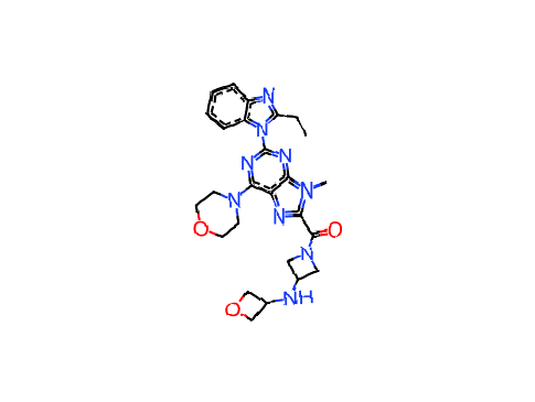 CCc1nc2ccccc2n1-c1nc(N2CCOCC2)c2nc(C(=O)N3CC(NC4COC4)C3)n(C)c2n1